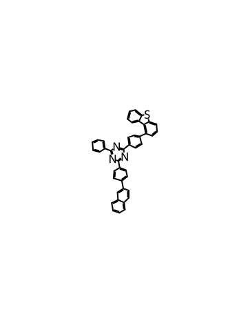 c1ccc(-c2nc(-c3ccc(-c4ccc5ccccc5c4)cc3)nc(-c3ccc(-c4cccc5sc6ccccc6c45)cc3)n2)cc1